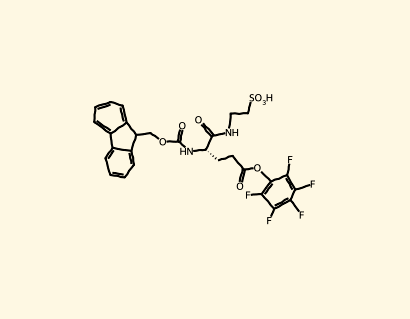 O=C(CC[C@H](NC(=O)OCC1c2ccccc2-c2ccccc21)C(=O)NCCS(=O)(=O)O)Oc1c(F)c(F)c(F)c(F)c1F